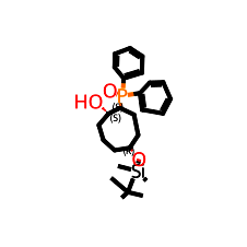 CC(C)(C)[Si](C)(C)O[C@@H]1CCC[C@H](O)[C@@H](P(=O)(c2ccccc2)c2ccccc2)CC1